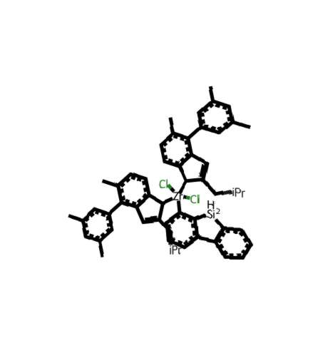 Cc1cc(C)cc(-c2c(C)ccc3c2C=C(CC(C)C)[CH]3[Zr]([Cl])([Cl])([c]2cccc3c2[SiH2]c2ccccc2-3)[CH]2C(CC(C)C)=Cc3c2ccc(C)c3-c2cc(C)cc(C)c2)c1